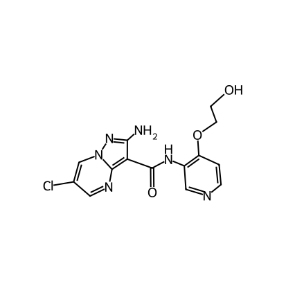 Nc1nn2cc(Cl)cnc2c1C(=O)Nc1cnccc1OCCO